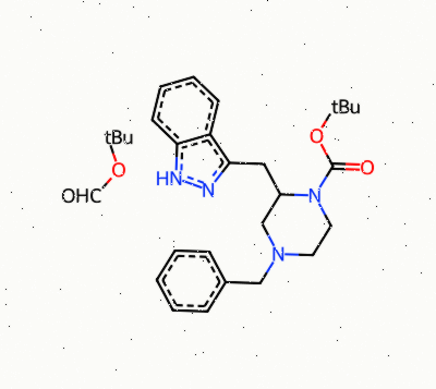 CC(C)(C)OC(=O)N1CCN(Cc2ccccc2)CC1Cc1n[nH]c2ccccc12.CC(C)(C)OC=O